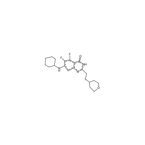 O=c1[nH]c(CSC2CCOCC2)nc2cc(NC3CCCCC3)c(F)c(F)c12